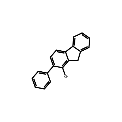 [O]c1c(-c2ccccc2)ccc2c1Cc1ccccc1-2